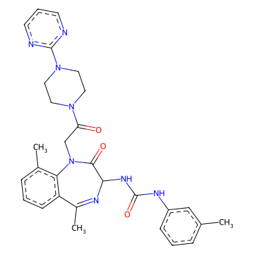 CC1=NC(NC(=O)Nc2cccc(C)c2)C(=O)N(CC(=O)N2CCN(c3ncccn3)CC2)c2c(C)cccc21